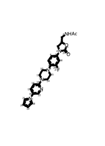 CC(=O)NCC1CN(c2ccc(N3CCN(c4ccc(-n5cccc5)cn4)CC3)c(F)c2)C(=O)O1